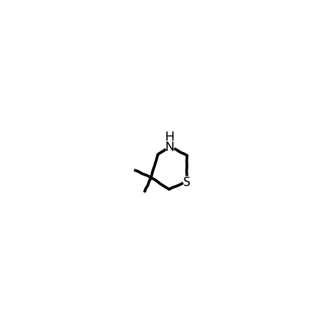 CC1(C)CNCSC1